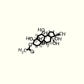 C#C[C@]1(O)CC[C@H]2[C@@H]3[C@H](O)C=C4[C@H](O)[C@@H](OC(C)=O)CC[C@]4(C)[C@H]3CC[C@@]21CO